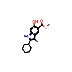 COC(=O)c1cc2c(I)c(C3CCCCC3)n(C)c2cc1O